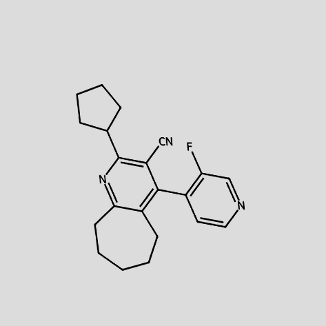 N#Cc1c(C2CCCC2)nc2c(c1-c1ccncc1F)CCCCC2